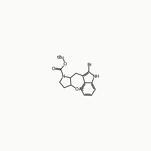 CC(=O)OC1CCN(C(=O)OC(C)(C)C)C1Cc1c(Br)[nH]c2ccccc12